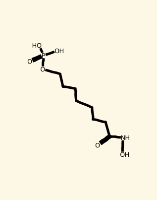 O=C(CCCCCCCOP(=O)(O)O)NO